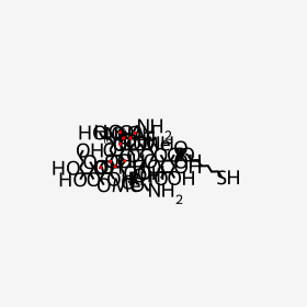 COC(OC1C(OCC(C)C(OC(OC(CO)[C@@H](C)O)[C@H](CO)NC(C)=O)C(O)C(OP(=O)(O)OCCN)C(OC)OC2C(CO)OC(OC3C(O)C(O)C(O)C(O)C3OP(=O)(O)OCCCCCCS)C(N)C2O)OC(CO)C(O)C1O)C(O)C(O)C(O)C(C)COP(=O)(O)OCCN